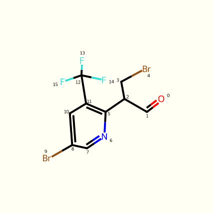 O=CC(CBr)c1ncc(Br)cc1C(F)(F)F